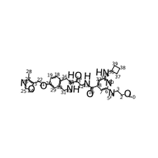 COCCN(C)c1cc(C(=O)NCC(O)[C@@H]2Cc3ccc(OCc4ocnc4C)cc3CN2)cc(NC2CCC2)n1